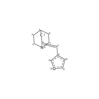 C(=C1\CC2CCN1CC2)/c1ccoc1